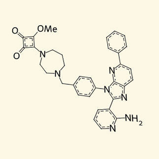 COc1c(N2CCCN(Cc3ccc(-n4c(-c5cccnc5N)nc5ccc(-c6ccccc6)nc54)cc3)CC2)c(=O)c1=O